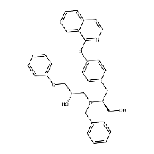 OC[C@H](Cc1ccc(Oc2nncc3ccccc23)cc1)N(Cc1ccccc1)C[C@H](O)COc1ccccc1